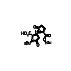 CCCCN1C(=O)CC[C@H]1C(=O)O.CCCCOC(=O)[C@@H]1CCC(=O)N1